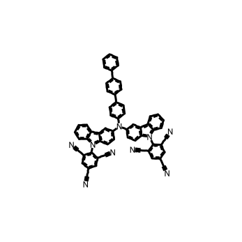 N#Cc1cc(C#N)c(-n2c3ccccc3c3cc(N(c4ccc(-c5ccc(-c6ccccc6)cc5)cc4)c4ccc5c(c4)c4ccccc4n5-c4c(C#N)cc(C#N)cc4C#N)ccc32)c(C#N)c1